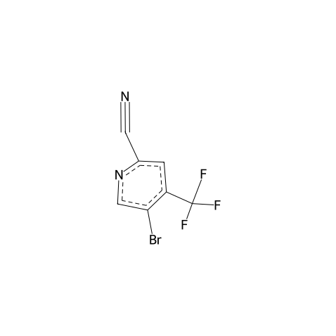 N#Cc1cc(C(F)(F)F)c(Br)cn1